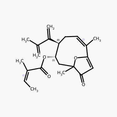 C=C(C)C(=C)[C@H]1C/C=C(/C)C2=CC(=O)C(C)(C[C@@H]1OC(=O)/C(C)=C\C)O2